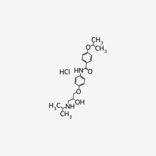 CC(C)NCC(O)COc1ccc(NC(=O)c2ccc(OC(C)C)cc2)cc1.Cl